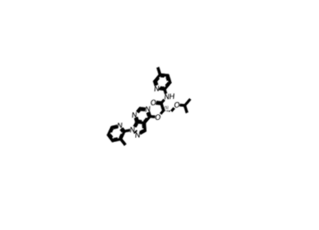 Cc1ccc(NC(=O)[C@H](COC(C)C)Oc2ncnc3c2cnn3-c2ncccc2C)nc1